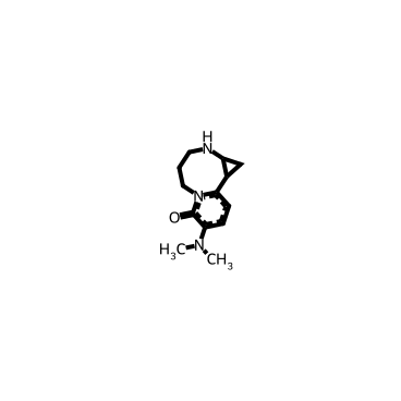 CN(C)c1ccc2n(c1=O)CCCNC1CC21